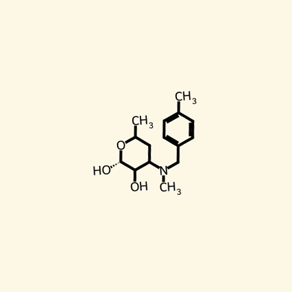 Cc1ccc(CN(C)C2CC(C)O[C@@H](O)C2O)cc1